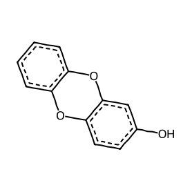 Oc1ccc2c(c1)Oc1ccccc1O2